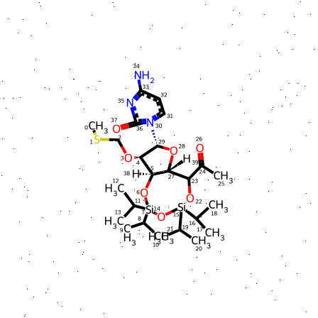 CSCO[C@H]1[C@@H]2O[Si](C(C)C)(C(C)C)O[Si](C(C)C)(C(C)C)OC(C(C)=O)[C@H]2O[C@H]1n1ccc(N)nc1=O